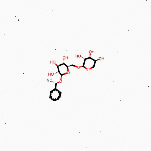 N#C[C@H](O[C@@H]1O[C@H](CO[C@@H]2OC[C@H](O)[C@H](O)[C@H]2O)[C@@H](O)[C@H](O)[C@H]1O)c1ccccc1